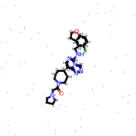 O=C(CN1CCCC1)N1CCC[C@@H](c2cnc(NCc3c(F)ccc4c3CCO4)n3cnnc23)CC1